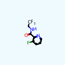 O=C(NCC(F)(F)F)c1ncccc1F